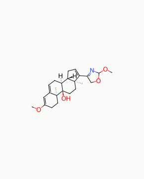 COC1=CC2=CC[C@H]3[C@@H]4CC=C(C5=NC(OC)OC5)[C@@]4(C)CC[C@]3(O)[C@@]2(C)CC1